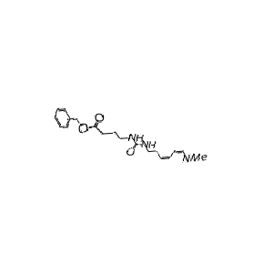 CN/C=C\C=C/CCNC(=O)NCCCC(=O)OCc1ccccc1